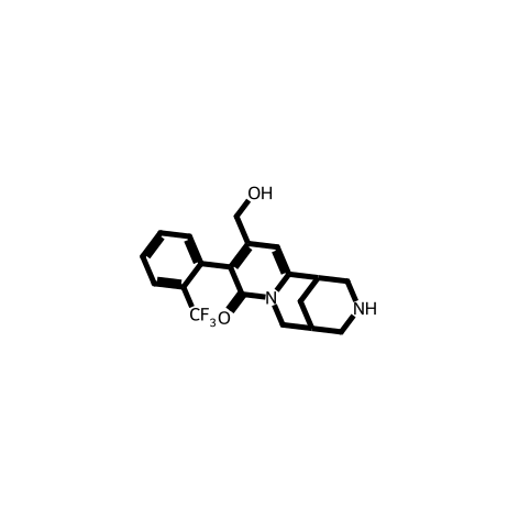 O=c1c(-c2ccccc2C(F)(F)F)c(CO)cc2n1CC1CNCC2C1